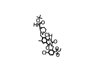 CCS(=O)(=O)c1ccc(Cl)cc1Cn1c(=O)[nH]c2c(Cl)c(CN3CCC[C@@H](NC(=O)OC(C)(C)C)C3)c(C)cc2c1=O